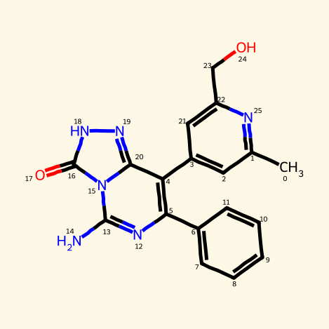 Cc1cc(-c2c(-c3ccccc3)nc(N)n3c(=O)[nH]nc23)cc(CO)n1